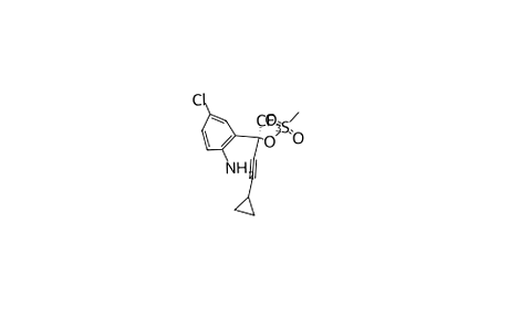 CS(=O)(=O)O[C@@](C#CC1CC1)(c1cc(Cl)ccc1N)C(F)(F)F